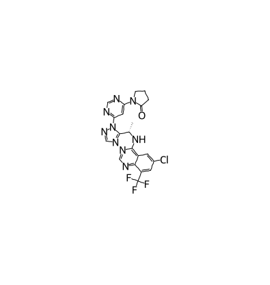 C[C@H](Nc1ncnc2c(C(F)(F)F)cc(Cl)cc12)c1ncnn1-c1cc(N2CCCC2=O)ncn1